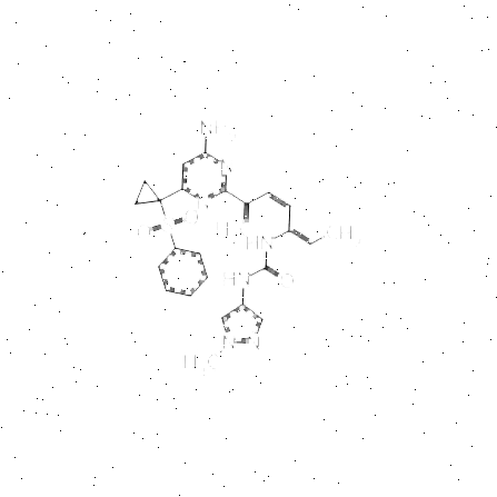 C=C(/C=C\C(=C/C)NC(=O)Nc1cnn(C)c1)c1nc(N)cc(C2(S(=O)(=O)c3ccccc3)CC2)n1